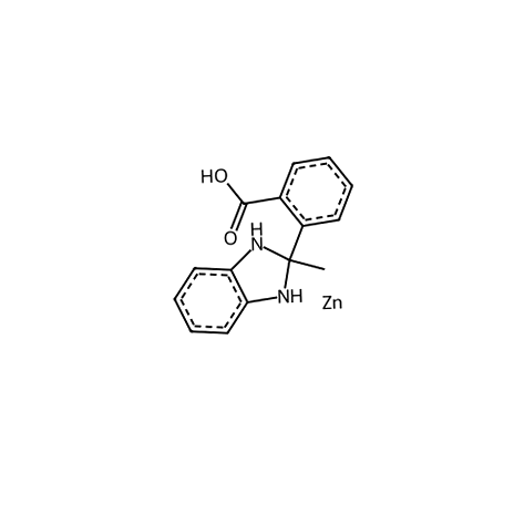 CC1(c2ccccc2C(=O)O)Nc2ccccc2N1.[Zn]